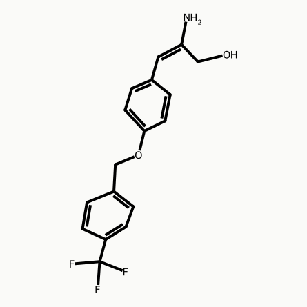 N/C(=C/c1ccc(OCc2ccc(C(F)(F)F)cc2)cc1)CO